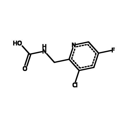 O=C(O)NCc1ncc(F)cc1Cl